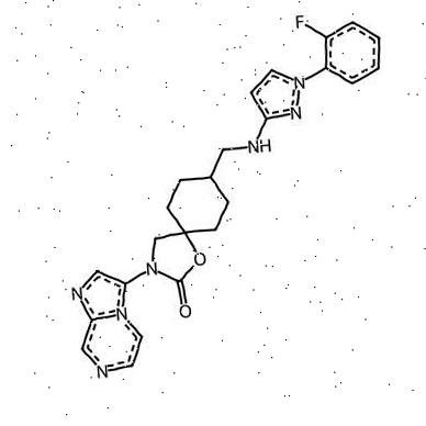 O=C1OC2(CCC(CNc3ccn(-c4ccccc4F)n3)CC2)CN1c1cnc2cnccn12